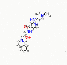 CN1CCC(Nc2cc(C(=O)NCC(O)CN3CCc4ccccc4C3)ccn2)CC1